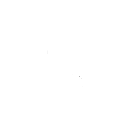 [Li][CH2]CCCN(C)C